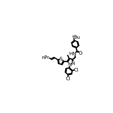 CCC/C=C/c1ccc(-c2c(C)c(CNC(=O)c3ccc(C(C)(C)C)cc3)nn2-c2ccc(Cl)cc2Cl)s1